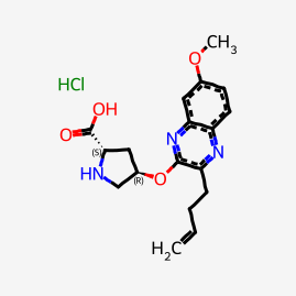 C=CCCc1nc2ccc(OC)cc2nc1O[C@H]1CN[C@H](C(=O)O)C1.Cl